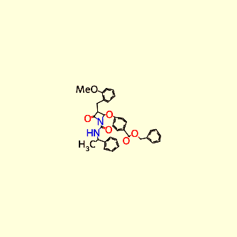 COc1ccccc1CC1C(=O)N(C(=O)NC(C)c2ccccc2)C1Oc1ccc(C(=O)OCc2ccccc2)cc1